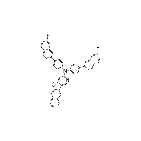 Fc1ccc2ccc(-c3ccc(N(c4ccc(-c5ccc6ccc(F)cc6c5)cc4)c4cc5oc6cc7ccccc7cc6c5cn4)cc3)cc2c1